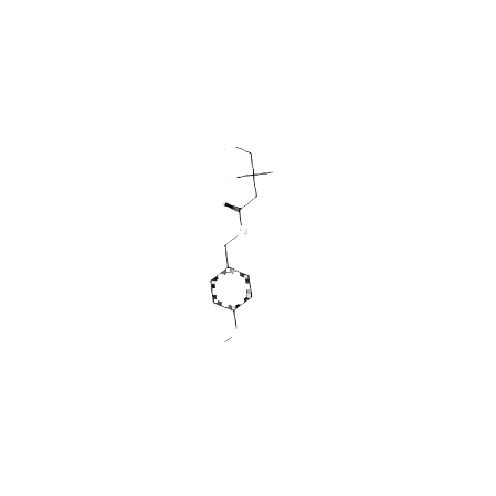 CCC(C)(C)CC(=O)NCc1ccc(OC)cc1